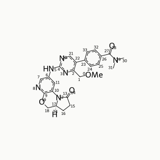 COCc1nc(Nc2cnc3c(c2)N2C(=O)CC[C@H]2CO3)ncc1-c1ccc(C(=O)N(C)C)cc1